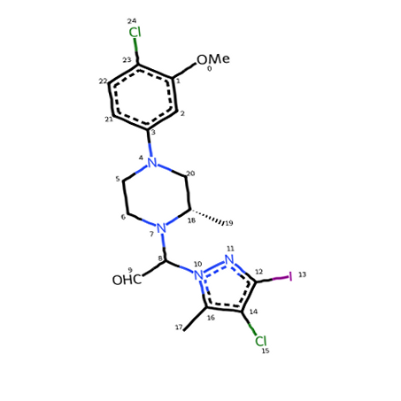 COc1cc(N2CCN(C(C=O)n3nc(I)c(Cl)c3C)[C@@H](C)C2)ccc1Cl